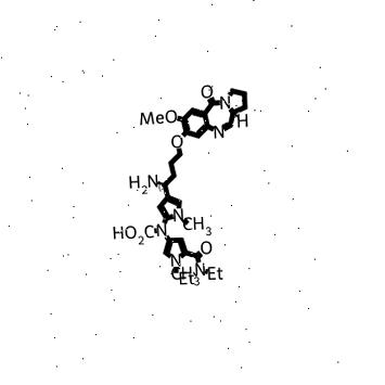 CCN(CC)C(=O)c1cc(N(C(=O)O)c2cc([C@@H](N)CCCOc3cc4c(cc3OC)C(=O)N3CCC[C@H]3C=N4)cn2C)cn1C